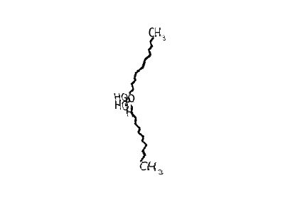 CCCCCCCCCCCCCO[PH](O)(O)CCCCCCCCCCCCC